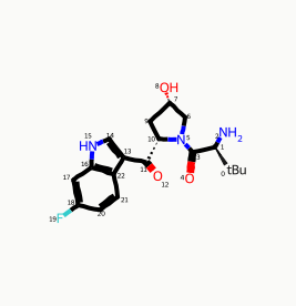 CC(C)(C)[C@H](N)C(=O)N1C[C@@H](O)C[C@H]1C(=O)c1c[nH]c2cc(F)ccc12